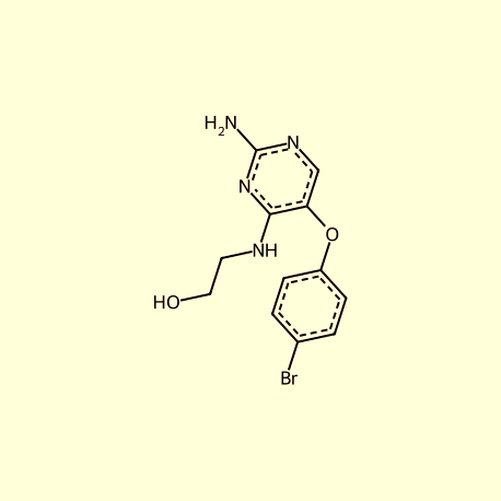 Nc1ncc(Oc2ccc(Br)cc2)c(NCCO)n1